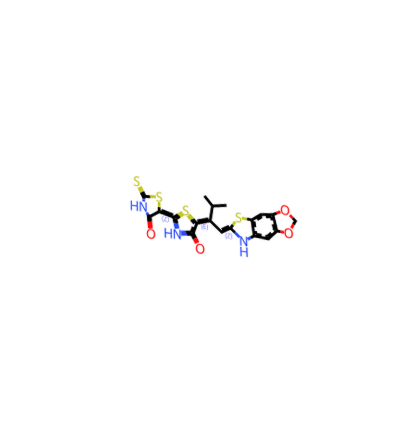 CC(C)C(/C=C1/Nc2cc3c(cc2S1)OCO3)=c1\s/c(=C2\SC(=S)NC2=O)[nH]c1=O